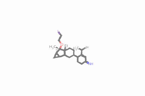 CCC12CCC(C3CCC(=N)C=C3C(C)C(C)C)CC1C1CC1[C@]2(C)OCCI